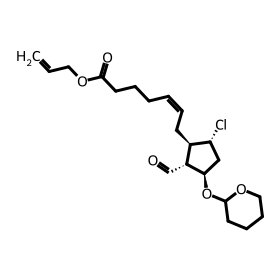 C=CCOC(=O)CCC/C=C\C[C@@H]1[C@@H](C=O)[C@H](OC2CCCCO2)C[C@H]1Cl